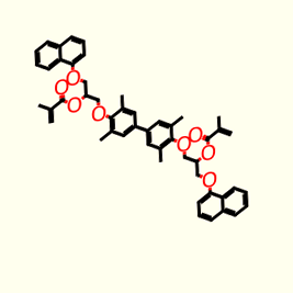 C=C(C)C(=O)OC(COc1c(C)cc(-c2cc(C)c(OCC(COc3cccc4ccccc34)OC(=O)C(=C)C)c(C)c2)cc1C)COc1cccc2ccccc12